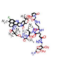 CC[C@@]1(O)C(=O)OCc2c1cc1n(c2=O)Cc2c-1nc1cc(F)c(C)c3c1c2[C@@H](NC(=O)C(C)(C)COCNC(=O)[C@H](C)NC(=O)[C@@H](NC(=O)[C@H](CCC(=O)NC[C@H]1O[C@@H](CC(N)=O)[C@H](O)[C@@H]1O)NC(=O)CCNC(=O)CN1C(=O)C=CC1=O)C(C)C)CC3